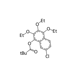 CCOc1c(OCC)c(OC(=O)C(C)(C)C)c2cc(Cl)ccc2c1OCC